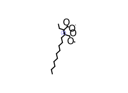 CCCCCCCCCC/C(C(=O)OC)=C(\CC)C(=O)OC